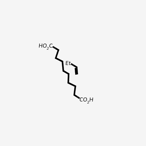 C=CCC.O=C(O)CCCCCCCCC(=O)O